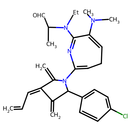 C=C/C=C1\C(=C)C(c2ccc(Cl)cc2)N(C2=CCC=C(N(C)C)C(N(CC)C(C)C=O)=N2)C1=C